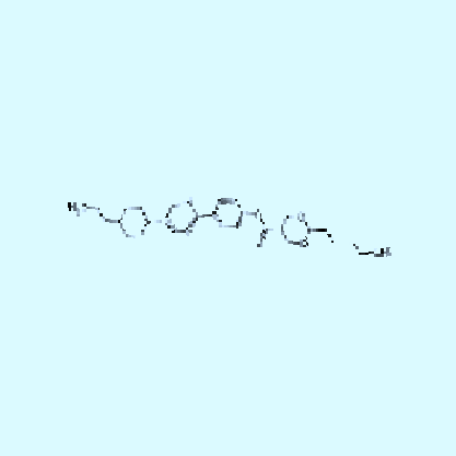 CCCCC[C@H]1OC[C@H](C(=O)Oc2ccc(-c3ncc([C@H]4CC[C@H](CCC)CC4)cn3)cc2)CO1